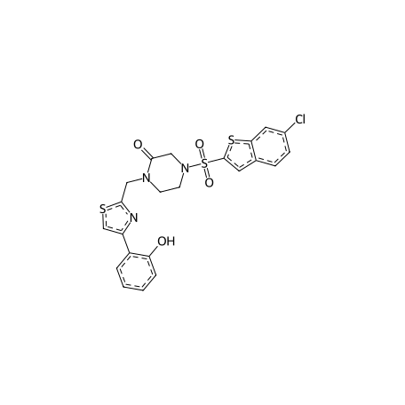 O=C1CN(S(=O)(=O)c2cc3ccc(Cl)cc3s2)CCN1Cc1nc(-c2ccccc2O)cs1